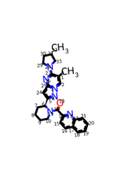 Cc1cn2nc([C@@H]3CCCCN3C(=O)c3ccc4ccccc4n3)cc2nc1N1CC[C@H](C)C1